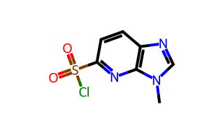 Cn1cnc2ccc(S(=O)(=O)Cl)nc21